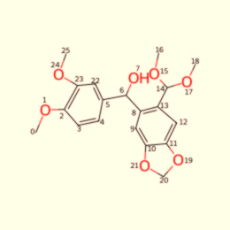 COc1ccc(C(O)c2cc3c(cc2C(OC)OC)OCO3)cc1OC